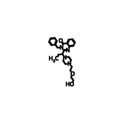 CCC(c1nc2ccccc2c(=O)n1Cc1ccccc1)N1CCN(CCOCCO)CC1